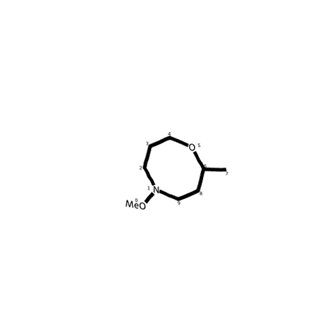 CON1CCCOC(C)CC1